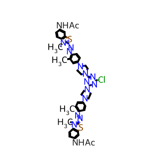 CC(=O)Nc1ccc2c(c1)sc(/N=N/c1ccc(N3CCN(c4nc(Cl)nc(N5CCN(c6ccc(/N=N/c7sc8cc(NC(C)=O)ccc8[n+]7C)c(C)c6)CC5)n4)CC3)cc1C)[n+]2C